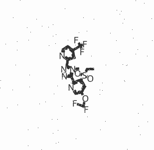 CCS(=O)(=O)c1cc(OC(F)F)cnc1-c1nnc(-c2cc(C(F)(F)F)ccn2)n1C